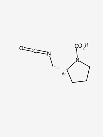 O=C=NC[C@H]1CCCN1C(=O)O